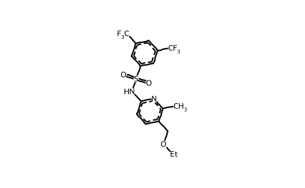 CCOCc1ccc(NS(=O)(=O)c2cc(C(F)(F)F)cc(C(F)(F)F)c2)nc1C